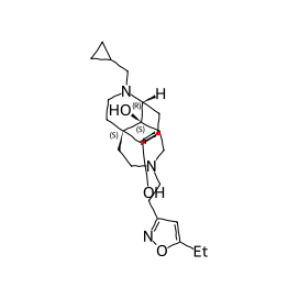 CCc1cc(CCN2CC[C@]34CCN(CC5CC5)[C@H](Cc5ccc(O)cc53)[C@]4(O)CC2)no1